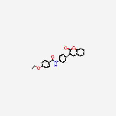 CCOc1ccc(C(=O)Nc2ccc(-c3cc4ccccc4oc3=O)cc2)cc1